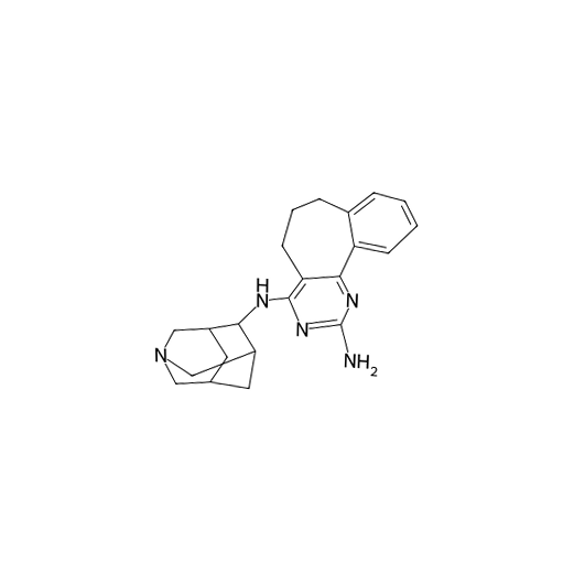 Nc1nc(NC2C3CC4CC2CN(C4)C3)c2c(n1)-c1ccccc1CCC2